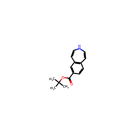 CC(C)(C)OC(=O)c1ccc2c(c1)C=CNC=C2